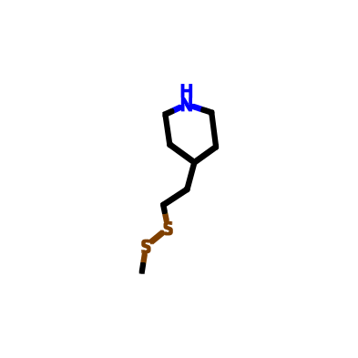 CSSCCC1CCNCC1